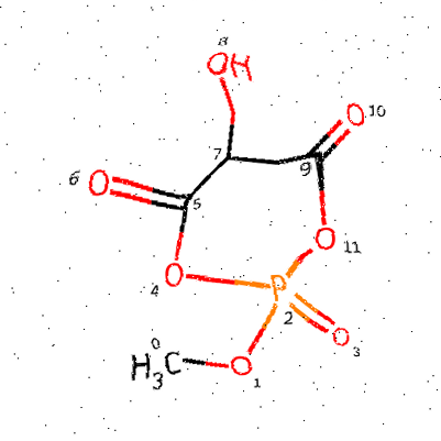 COP1(=O)OC(=O)C(O)C(=O)O1